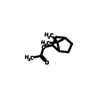 CC(=O)OC1CC2CCC1C2(C)C